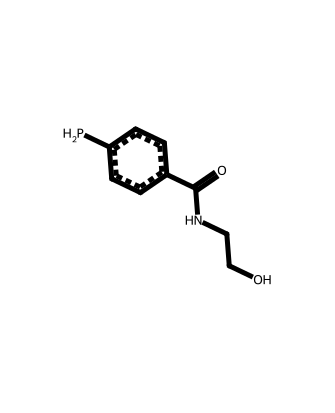 O=C(NCCO)c1ccc(P)cc1